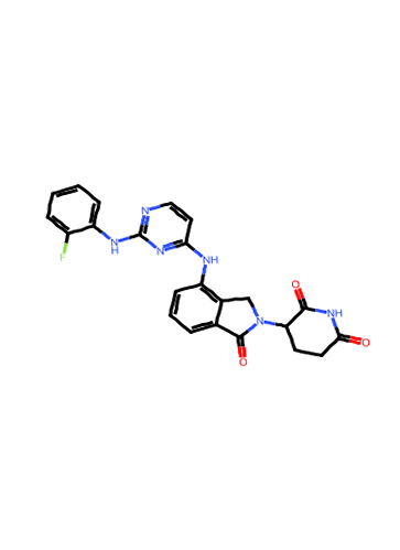 O=C1CCC(N2Cc3c(Nc4ccnc(Nc5ccccc5F)n4)cccc3C2=O)C(=O)N1